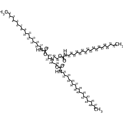 CCCCCCCCCCCCCCCCCCNC(=O)OCCN(CCOC(=O)NCCCCCCCCCCCCCCCCCC)CCOC(=O)NCCCCCCCCCCCCCCCCCC